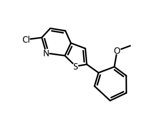 COc1ccccc1-c1cc2ccc(Cl)nc2s1